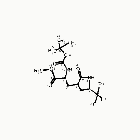 COC(=O)[C@H](CC1C[C@H](C(F)(F)F)NC1=O)NC(=O)OC(C)(C)C